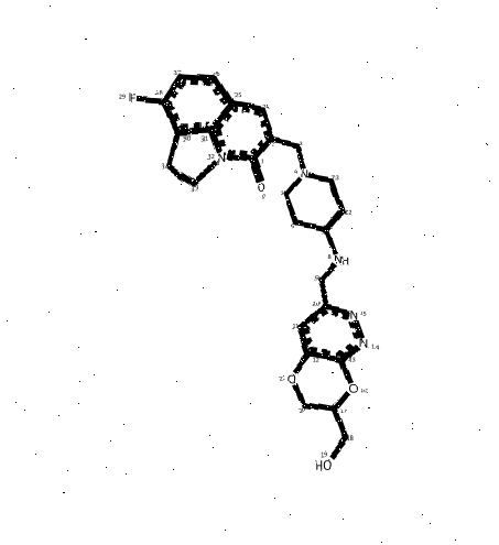 O=c1c(CN2CCC(NCc3cc4c(nn3)OC(CO)CO4)CC2)cc2ccc(F)c3c2n1CC3